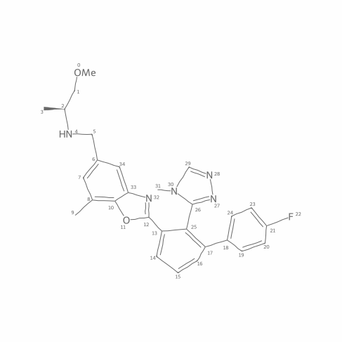 COC[C@H](C)NCc1cc(C)c2oc(-c3cccc(-c4ccc(F)cc4)c3-c3nncn3C)nc2c1